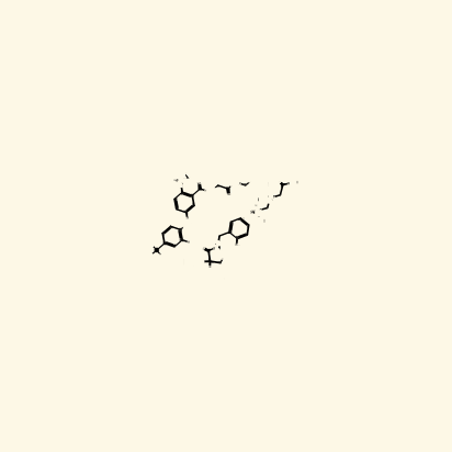 CC1(C)CON(Cc2ccccc2Cl)C1=O.CCOC(=O)COC(=O)c1cc(Oc2ccc(C(F)(F)F)cc2Cl)ccc1[N+](=O)[O-].O=C(O)CNCP(=O)(O)O